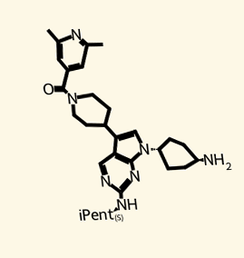 CCC[C@H](C)Nc1ncc2c(C3CCN(C(=O)c4cc(C)nc(C)c4)CC3)cn([C@H]3CC[C@H](N)CC3)c2n1